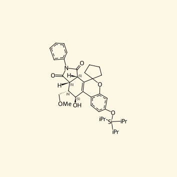 COC[C@@H]1[C@@H]2C(=O)N(c3ccccc3)C(=O)[C@@H]2C2=C(c3ccc(O[Si](C(C)C)(C(C)C)C(C)C)cc3OC23CCCC3)[C@H]1O